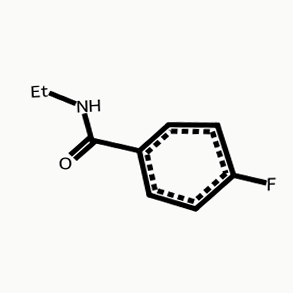 [CH2]CNC(=O)c1ccc(F)cc1